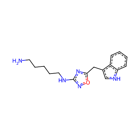 NCCCCCNc1noc(Cc2c[nH]c3ccccc23)n1